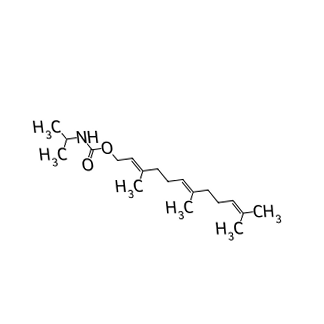 CC(C)=CCC/C(C)=C/CC/C(C)=C/COC(=O)NC(C)C